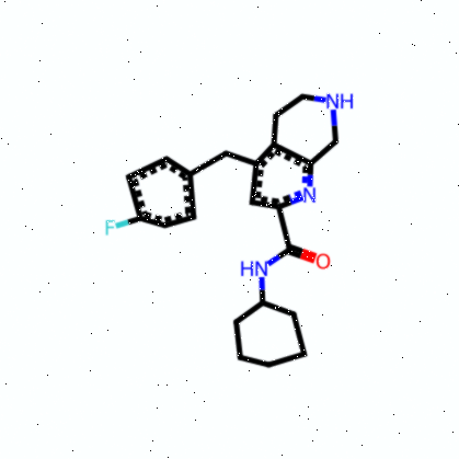 O=C(NC1CCCCC1)c1cc(Cc2ccc(F)cc2)c2c(n1)CNCC2